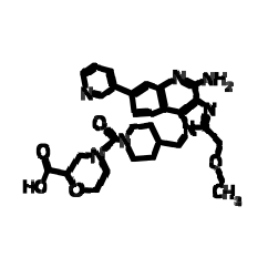 CCOCc1nc2c(N)nc3cc(-c4cccnc4)ccc3c2n1CC1CCN(C(=O)N2CCOC(C(=O)O)C2)CC1